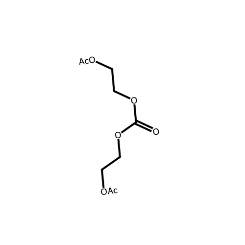 CC(=O)OCCOC(=O)OCCOC(C)=O